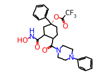 O=C(NO)C1C[C@@](OC(=O)C(F)(F)F)(c2ccccc2)CCC1C(=O)N1CCN(c2ccccc2)CC1